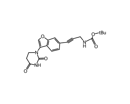 CC(C)(C)OC(=O)NCC#Cc1ccc2c(N3CCC(=O)NC3=O)coc2c1